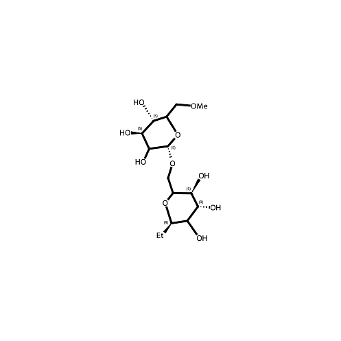 CC[C@H]1OC(CO[C@H]2OC(COC)[C@@H](O)[C@H](O)C2O)[C@@H](O)[C@H](O)C1O